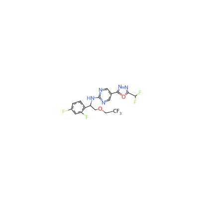 Fc1ccc(C(COCC(F)(F)F)Nc2ncc(-c3nnc(C(F)F)o3)cn2)c(F)c1